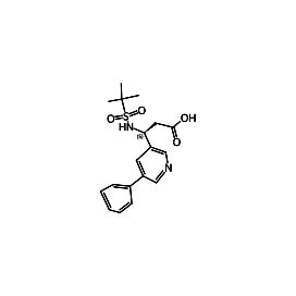 CC(C)(C)S(=O)(=O)N[C@@H](CC(=O)O)c1cncc(-c2ccccc2)c1